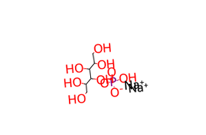 O=P([O-])([O-])O.OCC(O)C(O)C(O)C(O)CO.[Na+].[Na+]